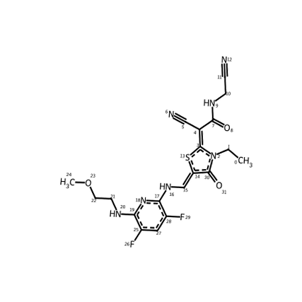 CCn1c(=C(C#N)C(=O)NCC#N)sc(=CNc2nc(NCCOC)c(F)cc2F)c1=O